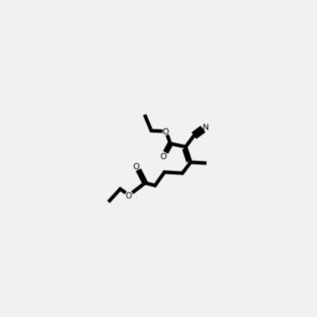 CCOC(=O)CCCC(C)=C(C#N)C(=O)OCC